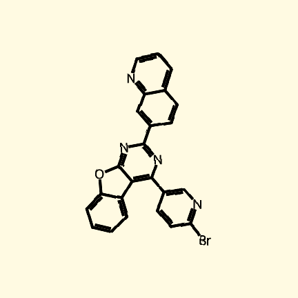 Brc1ccc(-c2nc(-c3ccc4cccnc4c3)nc3oc4ccccc4c23)cn1